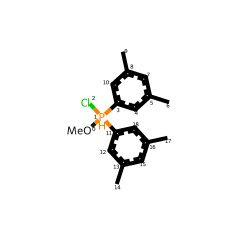 CO[PH](Cl)(c1cc(C)cc(C)c1)c1cc(C)cc(C)c1